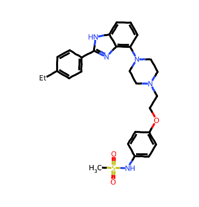 CCc1ccc(-c2nc3c(N4CCN(CCOc5ccc(NS(C)(=O)=O)cc5)CC4)cccc3[nH]2)cc1